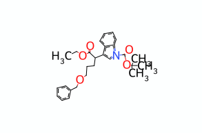 CCOC(=O)C(CCCOCc1ccccc1)c1cn(C(=O)OC(C)(C)C)c2ccccc12